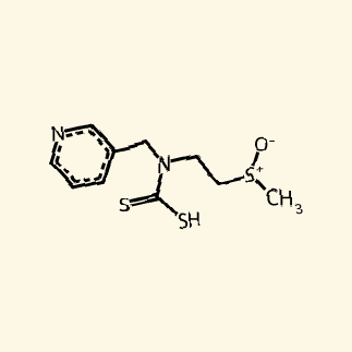 C[S+]([O-])CCN(Cc1cccnc1)C(=S)S